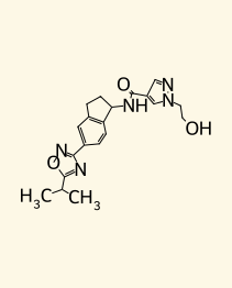 CC(C)c1nc(-c2ccc3c(c2)CCC3NC(=O)c2cnn(CCO)c2)no1